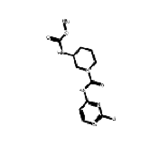 CC(C)(C)OC(=O)NC1CCCN(C(=O)Nc2ccnc(Cl)n2)C1